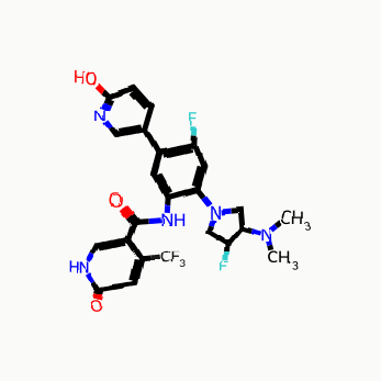 CN(C)C1CN(c2cc(F)c(-c3ccc(O)nc3)cc2NC(=O)c2c[nH]c(=O)cc2C(F)(F)F)CC1F